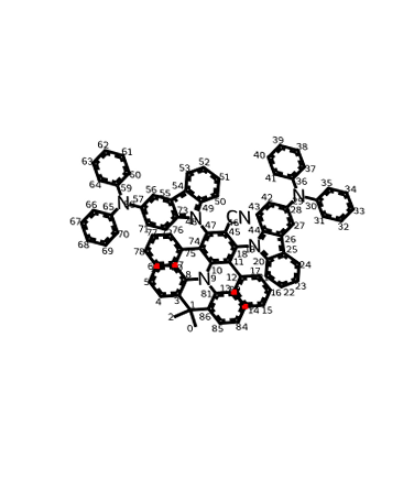 CC1(C)c2ccccc2N(c2c(-c3ccccc3)c(-n3c4ccccc4c4cc(N(c5ccccc5)c5ccccc5)ccc43)c(C#N)c(-n3c4ccccc4c4cc(N(c5ccccc5)c5ccccc5)ccc43)c2-c2ccccc2)c2ccccc21